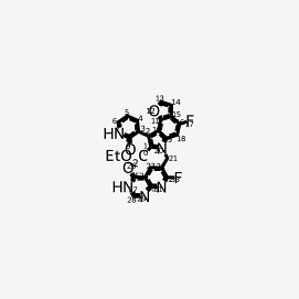 CCOC(=O)c1c(-c2ccc[nH]c2=O)c2c3occc3c(F)cc2n1Cc1cc2c(=O)[nH]cnc2nc1F